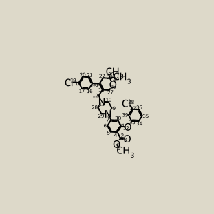 COC(=O)c1ccc(N2CCN(CC3=C(c4ccc(Cl)cc4)CC(C)(C)OC3)CC2)cc1Oc1cccc(Cl)c1